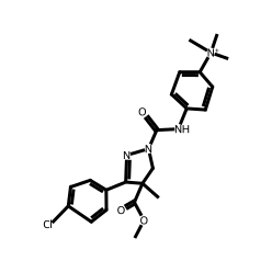 COC(=O)C1(C)CN(C(=O)Nc2ccc([N+](C)(C)C)cc2)N=C1c1ccc(Cl)cc1